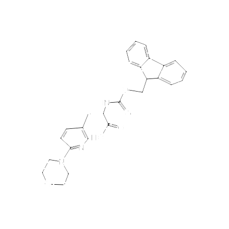 O=C(N[C@@H](Cc1ccc(N2CCOCC2)nc1)C(=O)O)OCC1c2ccccc2-c2ccccc21